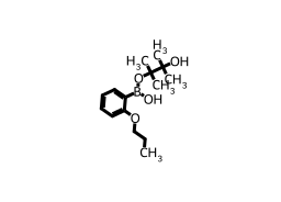 CCCOc1ccccc1B(O)OC(C)(C)C(C)(C)O